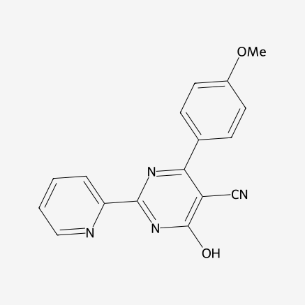 COc1ccc(-c2nc(-c3ccccn3)nc(O)c2C#N)cc1